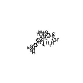 COc1cc(C(=O)N2C[C@H](N)C[C@@H](F)C2)cc2nc(-c3cc4ccc(-c5ccc(NS(=O)(=O)C6CC6)cc5)nc4n3CC3CC3)n(C)c12